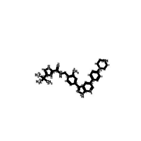 Cc1cc(-c2n[nH]c3ncc(-c4ccc(N5CCNCC5)cc4)cc23)ccc1CNC(=O)c1nc(C(C)(C)C)no1